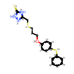 S=c1[nH]nc(CSCCCOc2ccc(Sc3ccccc3)cc2)[nH]1